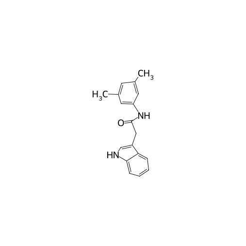 Cc1cc(C)cc(NC(=O)Cc2c[nH]c3ccccc23)c1